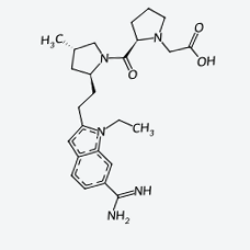 CCn1c(CC[C@H]2C[C@H](C)CN2C(=O)[C@H]2CCCN2CC(=O)O)cc2ccc(C(=N)N)cc21